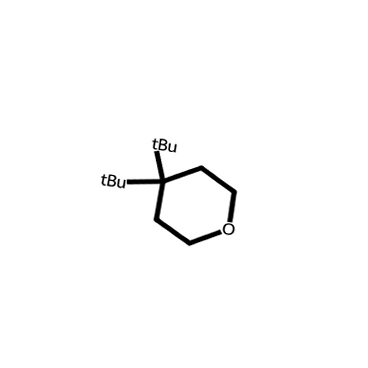 CC(C)(C)C1(C(C)(C)C)CCOCC1